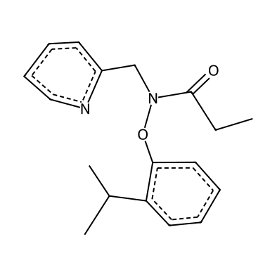 CCC(=O)N(Cc1ccccn1)Oc1ccccc1C(C)C